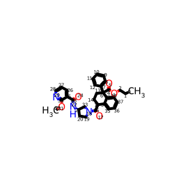 CCCOC(=O)C1(c2ccccc2)CCC(C(=O)N2CC[C@@H](NC(=O)c3cccnc3OC)C2)c2ccccc21